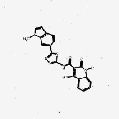 CCn1c(=O)c(C(=O)Nc2nnc(-c3ccc4ccn(C)c4c3)s2)c(O)c2ccccc21